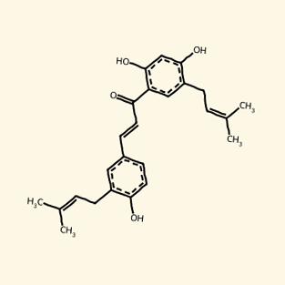 CC(C)=CCc1cc(C=CC(=O)c2cc(CC=C(C)C)c(O)cc2O)ccc1O